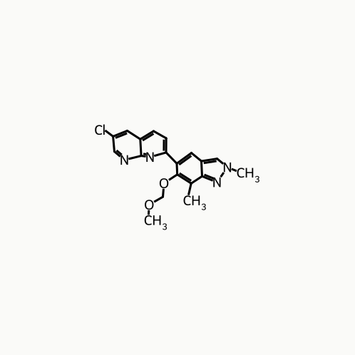 COCOc1c(-c2ccc3cc(Cl)cnc3n2)cc2cn(C)nc2c1C